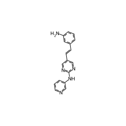 Nc1cccc(C=Cc2cnc(Nc3cccnc3)nc2)c1